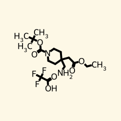 CCOC(=O)CC1(CN)CCN(C(=O)OC(C)(C)C)CC1.O=C(O)C(F)(F)F